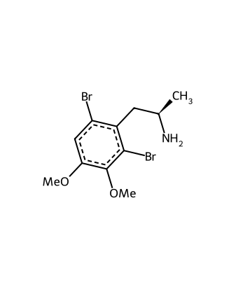 COc1cc(Br)c(C[C@@H](C)N)c(Br)c1OC